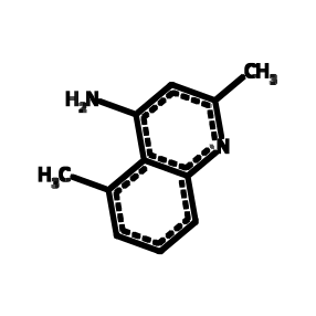 Cc1cc(N)c2c(C)cccc2n1